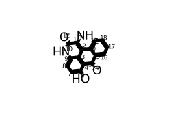 Nc1c2c3c(c(O)ccc3[nH]c1=O)C(=O)c1ccccc1-2